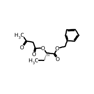 CC[C@H](OC(=O)CC(C)=O)C(=O)OCc1ccccc1